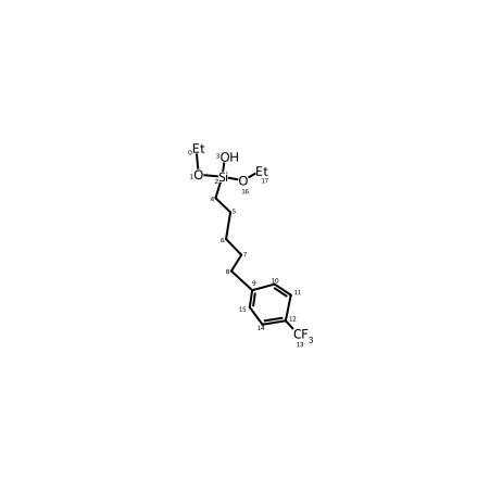 CCO[Si](O)(CCCCCc1ccc(C(F)(F)F)cc1)OCC